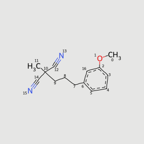 COc1cccc(CCCC(C)(C#N)C#N)c1